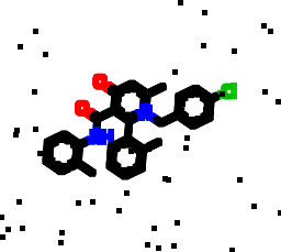 Cc1ccccc1NC(=O)c1c(-c2ccccc2C)n(Cc2ccc(Cl)cc2)c(C)cc1=O